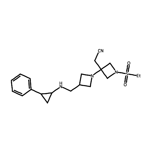 CCS(=O)(=O)N1CC(CC#N)(N2CC(CNC3CC3c3ccccc3)C2)C1